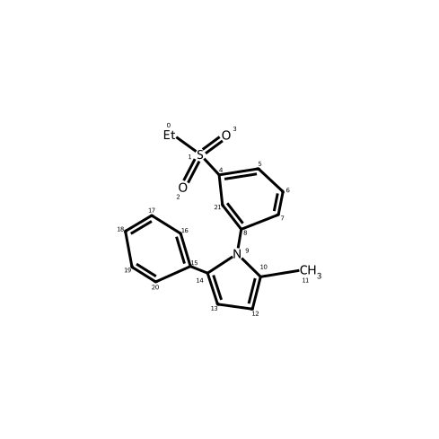 CCS(=O)(=O)c1cccc(-n2c(C)ccc2-c2ccccc2)c1